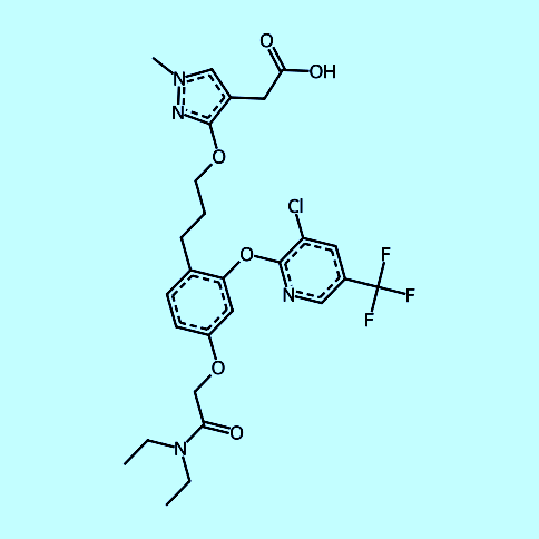 CCN(CC)C(=O)COc1ccc(CCCOc2nn(C)cc2CC(=O)O)c(Oc2ncc(C(F)(F)F)cc2Cl)c1